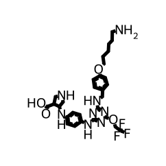 NCCCCCCOc1ccc(CNc2nc(Nc3ccc(NC4CNCC4C(=O)O)cc3)nc(OCC(F)(F)F)n2)cc1